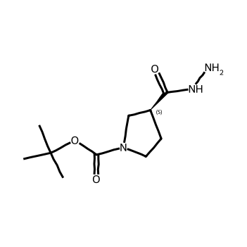 CC(C)(C)OC(=O)N1CC[C@H](C(=O)NN)C1